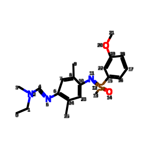 CCN(C)C=Nc1cc(C)c(N=S(C)(=O)c2cccc(OC)c2)cc1C